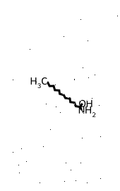 CCCCCCCCCCCCCC(N)O